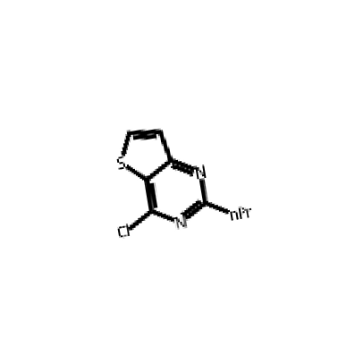 CCCc1nc(Cl)c2sccc2n1